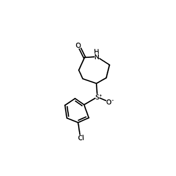 O=C1CCC([S+]([O-])c2cccc(Cl)c2)CCN1